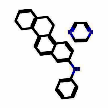 C1=CC2=C(CC1)c1ccc3cc(Nc4ccccc4)ccc3c1CC2.c1cnccn1